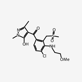 COCCNc1c(Cl)ccc(C(=O)c2c(C)nn(C)c2O)c1CS(C)(=O)=O